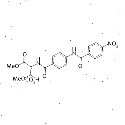 COC(=O)C(NC(=O)c1ccc(NC(=O)c2ccc([N+](=O)[O-])cc2)cc1)C(OC)C(=O)O